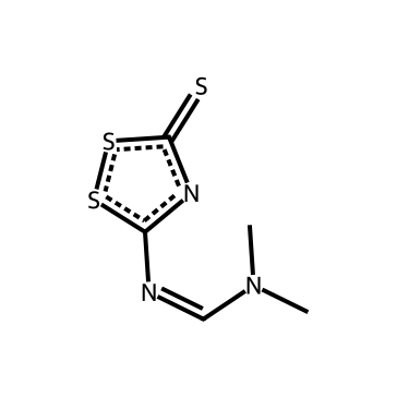 CN(C)/C=N\c1nc(=S)ss1